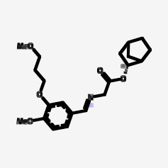 COCCCOc1cc(/C=N/CC(=O)O[C@@H]2CC3CCC2C3)ccc1OC